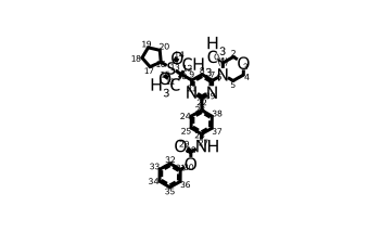 C[C@H]1COCCN1c1cc(C(C)(C)S(=O)(=O)C2CCCC2)nc(-c2ccc(NC(=O)Oc3ccccc3)cc2)n1